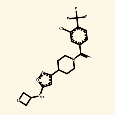 O=C(c1ccc(C(F)(F)F)c(Cl)c1)N1CCC(c2cc(NC3COC3)on2)CC1